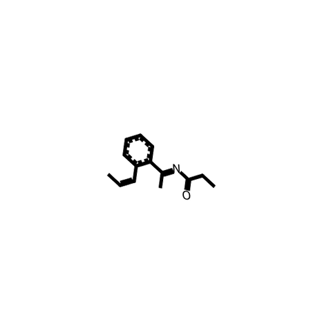 C/C=C\c1ccccc1/C(C)=N/C(=O)CC